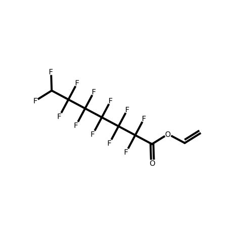 C=COC(=O)C(F)(F)C(F)(F)C(F)(F)C(F)(F)C(F)(F)C(F)F